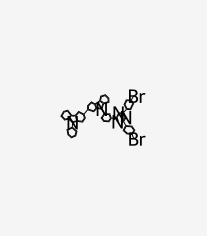 Brc1ccc(-c2nc(-c3ccc(Br)cc3)nc(-c3cccc(-n4c5ccccc5c5ccc(-c6ccc7c(c6)c6ccccc6n7-c6ccccc6)cc54)c3)n2)cc1